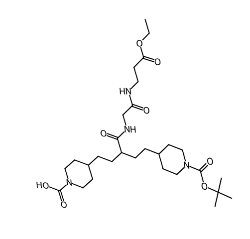 CCOC(=O)CCNC(=O)CNC(=O)C(CCC1CCN(C(=O)O)CC1)CCC1CCN(C(=O)OC(C)(C)C)CC1